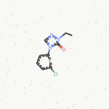 CCn1ncn(-c2cccc(Cl)c2)c1=O